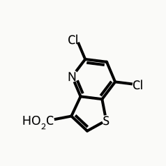 O=C(O)c1csc2c(Cl)cc(Cl)nc12